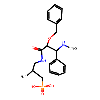 CC(CNC(=O)C(OCc1ccccc1)C(NC=O)c1ccccc1)CP(=O)(O)O